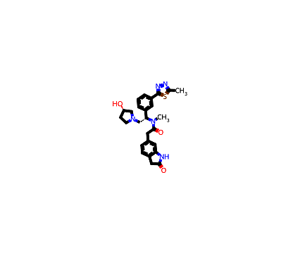 Cc1nnc(-c2cccc([C@@H](CN3CC[C@H](O)C3)N(C)C(=O)Cc3ccc4c(c3)NC(=O)C4)c2)s1